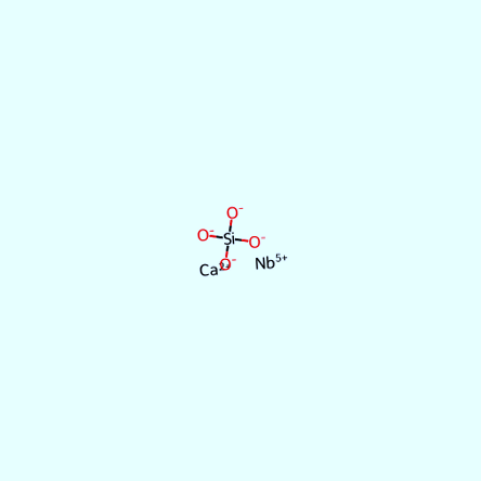 [Ca+2].[Nb+5].[O-][Si]([O-])([O-])[O-]